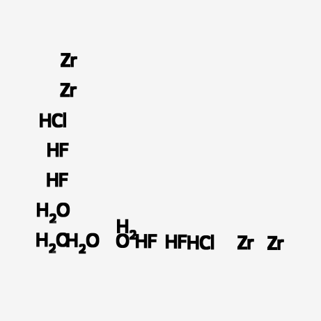 Cl.Cl.F.F.F.F.O.O.O.O.[Zr].[Zr].[Zr].[Zr]